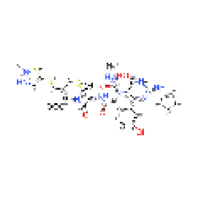 CN1NC=C(SCC2=C(C(=O)[O-])N3C(=O)C(NC(=O)C(c4ccc(O)cc4)N(C(N)=O)c4cnc(NC5CCCC5)nc4O)[C@H]3SC2)S1.[Na+]